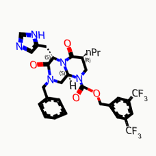 CCC[C@@H]1CN(C(=O)OCc2cc(C(F)(F)F)cc(C(F)(F)F)c2)[C@H]2CN(Cc3ccccc3)C(=O)[C@H](Cc3cnc[nH]3)N2C1=O